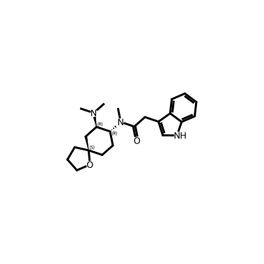 CN(C)[C@@H]1C[C@@]2(CCCO2)CC[C@H]1N(C)C(=O)Cc1c[nH]c2ccccc12